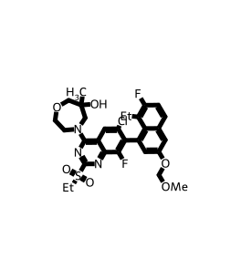 CCc1c(F)ccc2cc(OCOC)cc(-c3c(Cl)cc4c(N5CCOCC(C)(O)C5)nc(S(=O)(=O)CC)nc4c3F)c12